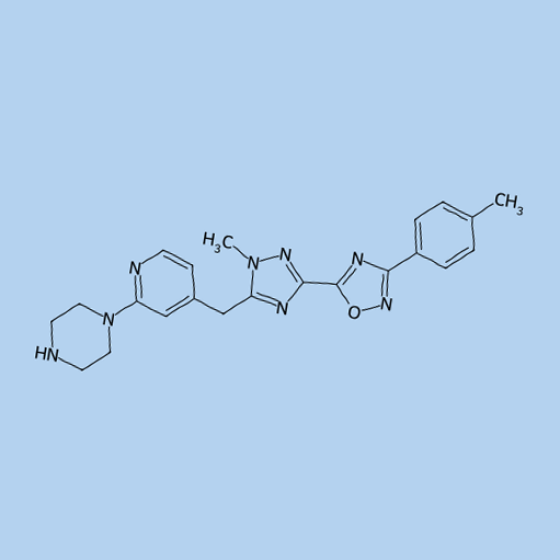 Cc1ccc(-c2noc(-c3nc(Cc4ccnc(N5CCNCC5)c4)n(C)n3)n2)cc1